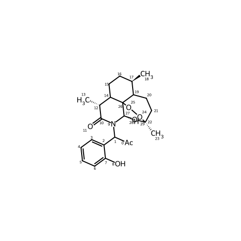 CC(=O)C(c1ccccc1O)N1C(=O)[C@H](C)C2CC[C@@H](C)C3CC[C@]4(C)OOC32[C@H]1O4